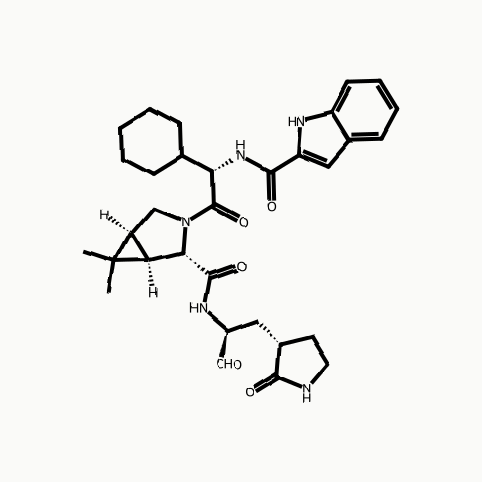 CC1(C)[C@@H]2[C@@H](C(=O)N[C@H](C=O)C[C@@H]3CCNC3=O)N(C(=O)[C@@H](NC(=O)c3cc4ccccc4[nH]3)C3CCCCC3)C[C@@H]21